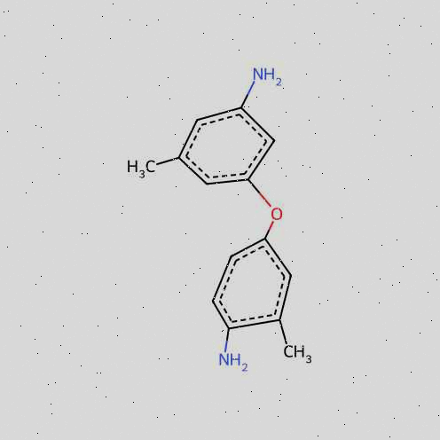 Cc1cc(N)cc(Oc2ccc(N)c(C)c2)c1